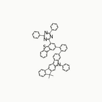 CC1(C)c2ccccc2-c2cc3c4ccc(-c5ccccc5-c5cc(-c6nc(-c7ccccc7)nc(-c7ccccc7)n6)c6sc7ccccc7c6c5)cc4n(-c4ccccc4)c3cc21